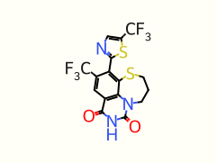 O=c1[nH]c(=O)n2c3c(c(-c4ncc(C(F)(F)F)s4)c(C(F)(F)F)cc13)SCCC2